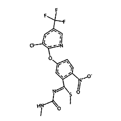 CNC(=O)N=C(SC)c1cc(Oc2ncc(C(F)(F)F)cc2Cl)ccc1[N+](=O)[O-]